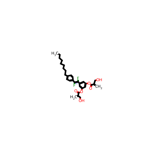 C=C(CO)C(=O)Oc1cc(OC(=O)C(=C)CO)cc(/C(F)=C(\F)c2ccc(CCCCCCCCC)cc2)c1